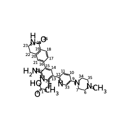 CC(=O)O.CN1CCN(c2ccc(-c3cc(-c4ccc5c(c4)CCNC5=O)c(N)nc3F)nc2)CC1